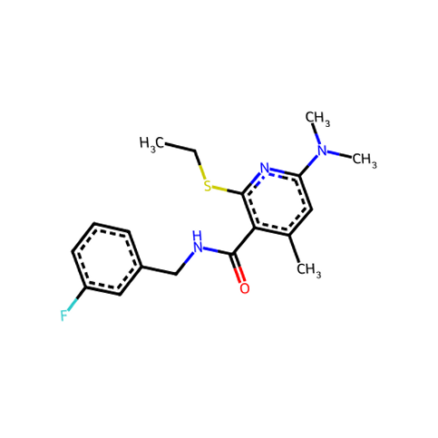 CCSc1nc(N(C)C)cc(C)c1C(=O)NCc1cccc(F)c1